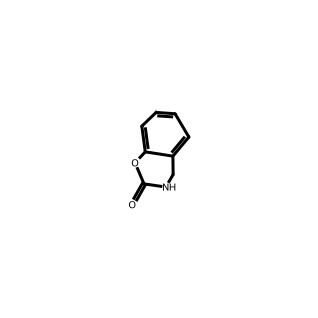 O=C1NCc2cc[c]cc2O1